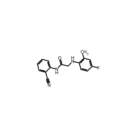 Cc1cc(F)ccc1NCC(=O)Nc1ccccc1C#N